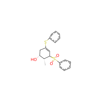 C[C@@H]1[C@H](O)CC(Sc2ccccc2)=C[C@H]1S(=O)(=O)c1ccccc1